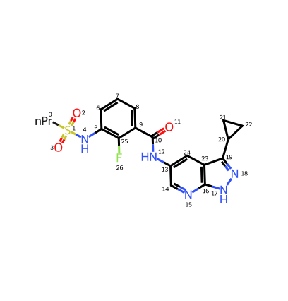 CCCS(=O)(=O)Nc1cccc(C(=O)Nc2cnc3[nH]nc(C4CC4)c3c2)c1F